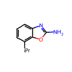 CC(C)c1cccc2nc(N)oc12